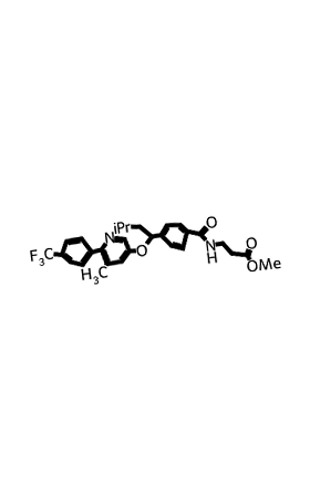 COC(=O)CCNC(=O)c1ccc(C(CC(C)C)Oc2cnc(-c3ccc(C(F)(F)F)cc3)c(C)c2)cc1